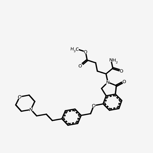 COC(=O)CCC(C(N)=O)N1Cc2c(OCc3ccc(CCCN4CCOCC4)cc3)cccc2C1=O